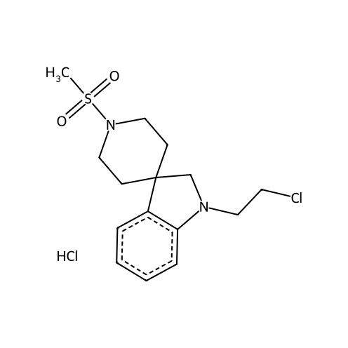 CS(=O)(=O)N1CCC2(CC1)CN(CCCl)c1ccccc12.Cl